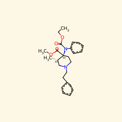 CCOC(=O)N(c1ccccc1)[C@@]1(C(=O)OC)CCN(CCc2ccccc2)C[C@@H]1C